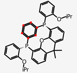 CC(C)Oc1ccccc1[P@](c1ccccc1)c1cccc2c1Oc1c([P@@](c3ccccc3)c3ccccc3OC(C)C)cccc1C2(C)C